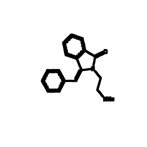 CNCCN1C(=O)c2ccccc2/C1=C\c1ccccc1